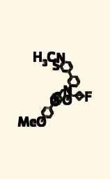 COc1ccc(C23CCC(CN(C(=O)C45CC(F)(C4)C5)c4cccc(-c5ccc6nc(C)sc6c5)c4)(CC2)CO3)cc1